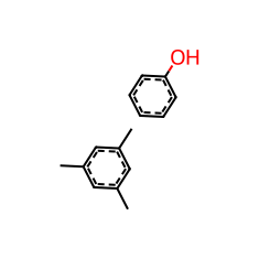 Cc1cc(C)cc(C)c1.Oc1ccccc1